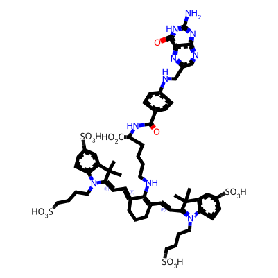 CC1(C)C(/C=C/C2=C(NCCCCC(NC(=O)c3ccc(NCc4cnc5nc(N)[nH]c(=O)c5n4)cc3)C(=O)O)C(=C/C=C3/N(CCCCS(=O)(=O)O)c4ccc(S(=O)(=O)O)cc4C3(C)C)/CCC2)=[N+](CCCCS(=O)(=O)O)c2ccc(S(=O)(=O)O)cc21